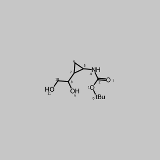 CC(C)(C)OC(=O)NC1CC1C(O)CO